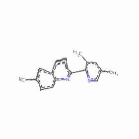 Cc1cnc(-c2ccc3cc(C#N)ccc3n2)c(C)c1